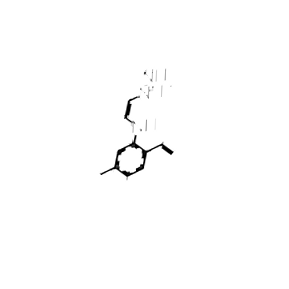 C=Cc1ccc(C)cc1N/C=C\NN